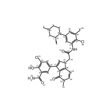 C[C@H]1CN(C)CCN1c1cc(NC(=O)Cn2cc(-c3cc(Cl)c(O)c(C(N)=O)c3)c3c(=O)n(C)cnc32)c(Cl)c(F)n1